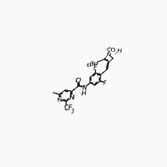 Cc1cc(C(=O)Nc2cc(F)c(C=C3CN(C(=O)O)C3C(C)(C)C)c(F)c2)nc(C(F)(F)F)n1